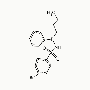 CCCCP(NS(=O)(=O)c1ccc(Br)cc1)c1ccccc1